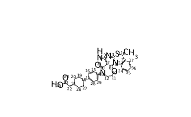 CC(Sc1nc(N)c2c(n1)OCCN(c1ccc([C@H]3CC[C@H](CC(=O)O)CC3)cc1)C2=O)c1ccccc1